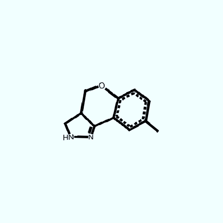 Cc1ccc2c(c1)C1=NNCC1CO2